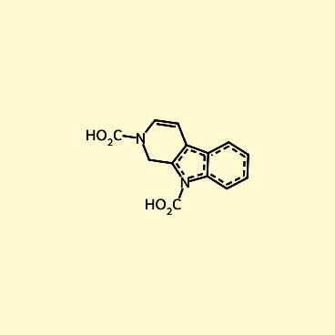 O=C(O)N1C=Cc2c(n(C(=O)O)c3ccccc23)C1